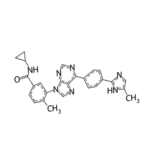 Cc1cnc(-c2ccc(-c3ncnc4c3ncn4-c3cc(C(=O)NC4CC4)ccc3C)cc2)[nH]1